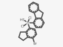 [SH][Zr]([Cl])([Cl])([c]1ccc(Br)c2c1CCC2)[c]1cccc2c1-c1ccccc1C2